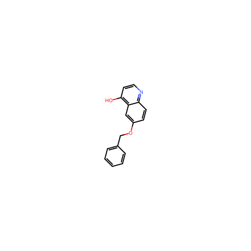 Oc1ccnc2ccc(OCc3ccccc3)cc12